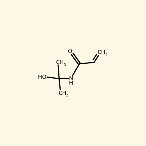 [CH2]C(C)(O)NC(=O)C=C